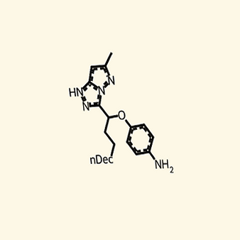 CCCCCCCCCCCCC(Oc1ccc(N)cc1)c1n[nH]c2cc(C)nn12